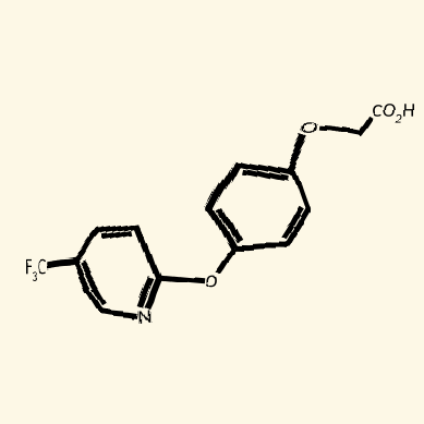 O=C(O)COc1ccc(Oc2ccc(C(F)(F)F)cn2)cc1